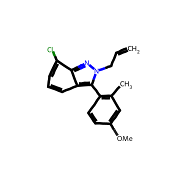 C=CCn1nc2c(Cl)cccc2c1-c1ccc(OC)cc1C